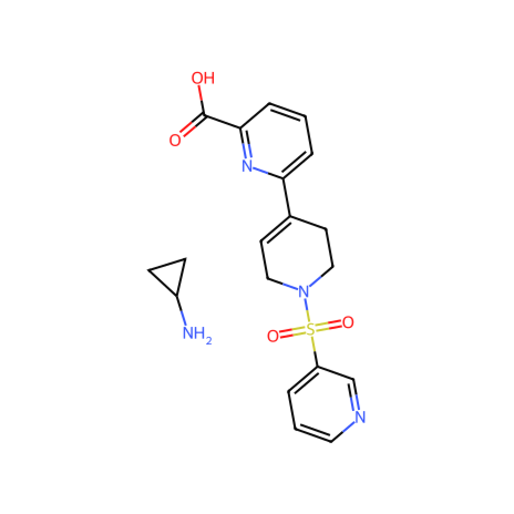 NC1CC1.O=C(O)c1cccc(C2=CCN(S(=O)(=O)c3cccnc3)CC2)n1